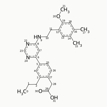 CCCc1cc(-c2cc(NCCc3cc(C)c(C)cc3OC)ncn2)ccc1CC(=O)O